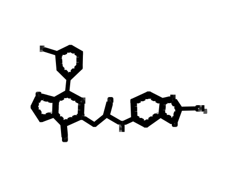 Cc1nc2ccc(NC(=O)Cn3nc(-c4cccc(F)c4)c4occc4c3=O)cc2o1